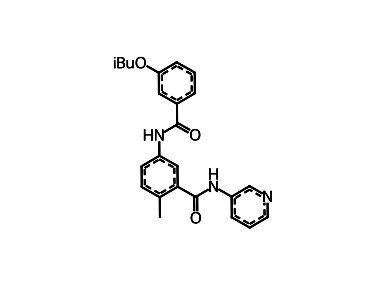 Cc1ccc(NC(=O)c2cccc(OCC(C)C)c2)cc1C(=O)Nc1cccnc1